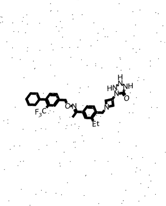 CCc1cc(/C(C)=N/OCc2ccc(C3CCCCC3)c(C(F)(F)F)c2)ccc1CN1CC(N2NNNC2=O)C1